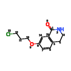 O=C1NCCc2ccc(OCCCCl)cc21